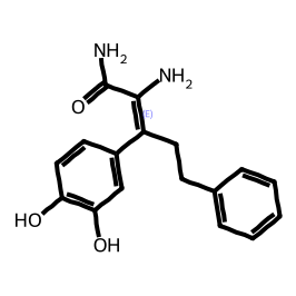 NC(=O)/C(N)=C(/CCc1ccccc1)c1ccc(O)c(O)c1